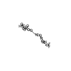 O=C1CCC(N2C(=O)c3ccc(OCCCCCN4CCC(OC5CN(c6ccn7cc(-c8ccc(F)c(F)c8)nc7c6)C5)CC4)cc3C2=O)C(=O)N1